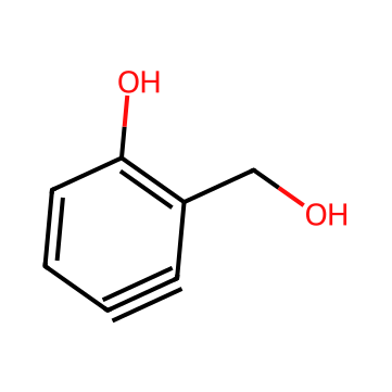 OCc1c#cccc1O